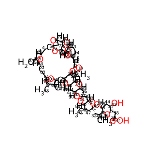 C=C1C[C@@H]2CC[C@]34C[C@@H](O3)[C@@H]3O[C@H]5CC[C@H](CC(=O)O[C@@H]6[C@@H](C)[C@@H]7O[C@@H]8C[C@]9(C[C@@H]%10O[C@]%11(C[C@H](C)[C@@H]%12O[C@H](CC(=O)O)[C@H](O)C[C@@H]%12O%11)C[C@H](C)[C@@H]%10O9)O[C@@H]8C[C@@H]7O[C@H]6C[C@H]6O[C@@H](CC[C@@H]1O2)C[C@@H](C)C6=C)O[C@@H]5[C@H](O4)[C@@H]3OC